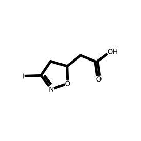 O=C(O)CC1CC(I)=NO1